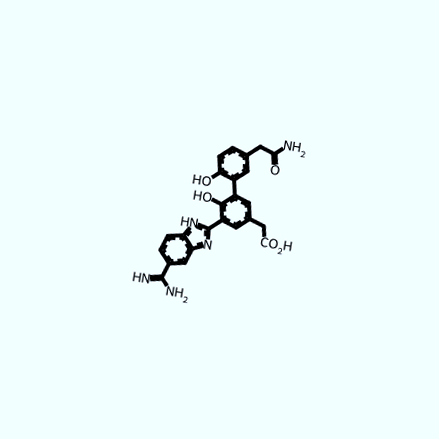 N=C(N)c1ccc2[nH]c(-c3cc(CC(=O)O)cc(-c4cc(CC(N)=O)ccc4O)c3O)nc2c1